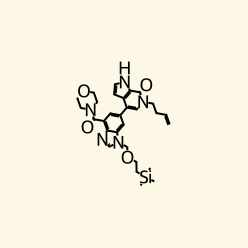 C=CCCn1cc(-c2cc(C(=O)N3CCOCC3)c3ncn(COCC[Si](C)(C)C)c3c2)c2cc[nH]c2c1=O